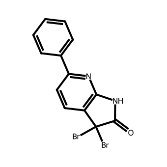 O=C1Nc2nc(-c3ccccc3)ccc2C1(Br)Br